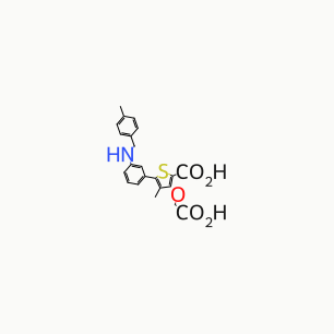 Cc1ccc(CNc2cccc(-c3sc(C(=O)O)c(OCC(=O)O)c3C)c2)cc1